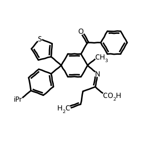 C=CCC(=NC1(C)C=CC(c2ccc(C(C)C)cc2)(c2ccsc2)C=C1C(=O)c1ccccc1)C(=O)O